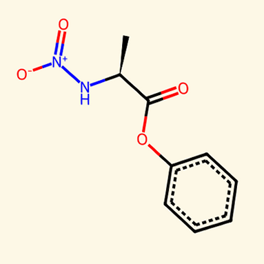 C[C@H](N[N+](=O)[O-])C(=O)Oc1ccccc1